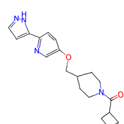 O=C(C1CCC1)N1CCC(COc2ccc(-c3ccn[nH]3)nc2)CC1